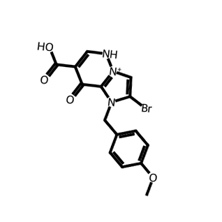 COc1ccc(Cn2c(Br)c[n+]3[nH]cc(C(=O)O)c(=O)c23)cc1